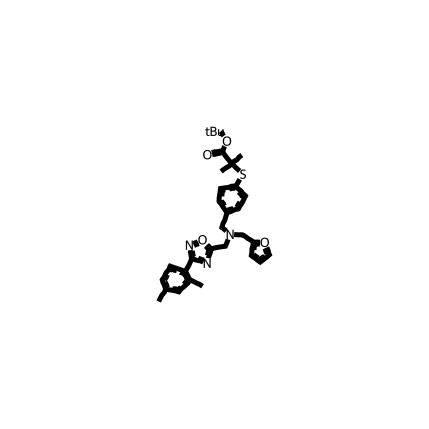 Cc1ccc(-c2noc(CN(Cc3ccc(SC(C)(C)C(=O)OC(C)(C)C)cc3)Cc3ccco3)n2)c(C)c1